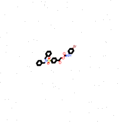 O=C(Nc1ccc(Br)cc1)OCC(=O)c1ccc(S(=O)(=O)N(Cc2ccccc2)Cc2ccccc2)cc1